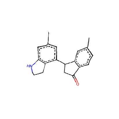 Cc1ccc2c(c1)C(c1cc(C)cc3c1CCN3)CC2=O